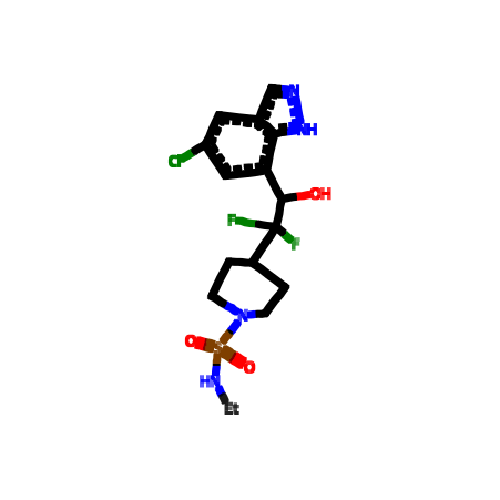 CCNS(=O)(=O)N1CCC(C(F)(F)C(O)c2cc(Cl)cc3cn[nH]c23)CC1